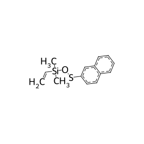 C=C[Si](C)(C)OSc1ccc2ccccc2c1